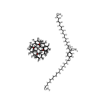 CCCCCCCCCCCCCCCCCCOc1ccc([NH+](C)CCCCCCCCCCCCCCCCCC)cc1.Fc1c(F)c(F)c2c([B-](c3c(F)c(F)c(F)c4c(F)c(F)c(F)c(F)c34)(c3c(F)c(F)c(F)c4c(F)c(F)c(F)c(F)c34)c3c(F)c(F)c(F)c4c(F)c(F)c(F)c(F)c34)c(F)c(F)c(F)c2c1F